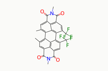 Cc1cc2c3c(cc(C(F)(F)F)c4c5c(C(F)(F)F)cc6c7c(cc(C)c(c1c34)c75)C(=O)N(C)C6=O)C(=O)N(C)C2=O